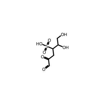 O=CC(=O)CC(C(O)CO)S(=O)(=O)O